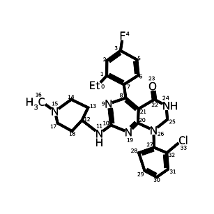 CCc1cc(F)ccc1-c1nc(NC2CCN(C)CC2)nc2c1C(=O)NCN2c1ccccc1Cl